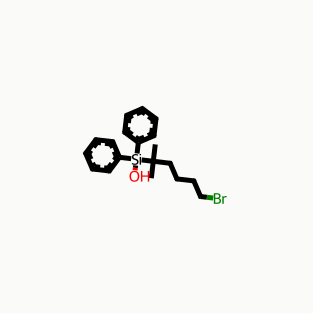 CC(C)(CCCCBr)[Si](O)(c1ccccc1)c1ccccc1